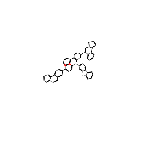 c1ccc(-c2ccc(-c3cc4ccccc4c4ccccc34)cc2N(c2ccc(-c3ccc4c(ccc5ccccc54)c3)cc2)c2ccc3c(c2)sc2ccccc23)cc1